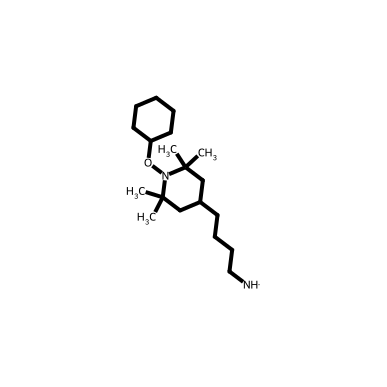 CC1(C)CC(CCCC[NH])CC(C)(C)N1OC1CCCCC1